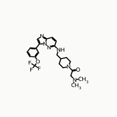 CN(C)CC(=O)N1CCC(CNc2ccc3ncc(-c4cccc(OC(F)(F)F)c4)n3n2)CC1